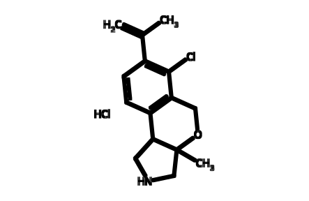 C=C(C)c1ccc2c(c1Cl)COC1(C)CNCC21.Cl